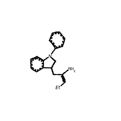 CC/C=C(/N)CC1CN(c2ccccc2)c2ccccc21